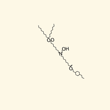 C=C(CCCCCCCN(CCO)CCCCCCCC(=O)OC(CCCCCCCC)CCCCCCCC)OCCC1CCC(CCC)CC1